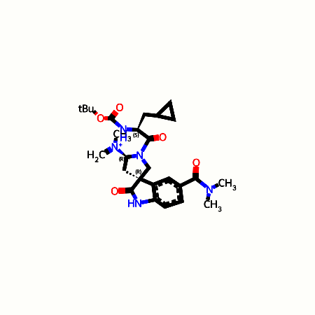 C=[N+](C)[C@@H]1C[C@@]2(CN1C(=O)[C@H](CC1CC1)NC(=O)OC(C)(C)C)C(=O)Nc1ccc(C(=O)N(C)C)cc12